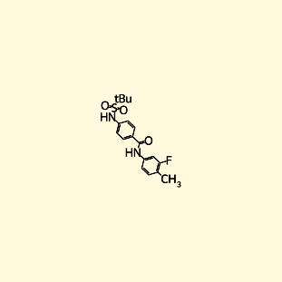 Cc1ccc(NC(=O)c2ccc(NS(=O)(=O)C(C)(C)C)cc2)cc1F